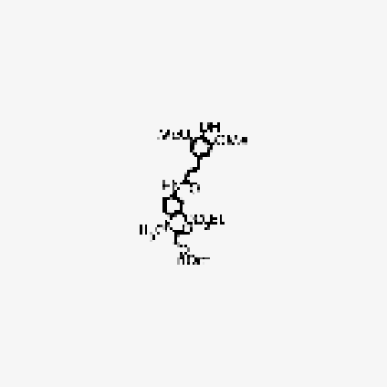 CCCCCCCCOCC(=O)N(C)c1ccc(NC(=O)C=Cc2cc(OC)c(O)c(OC)c2)cc1C(=O)OCC